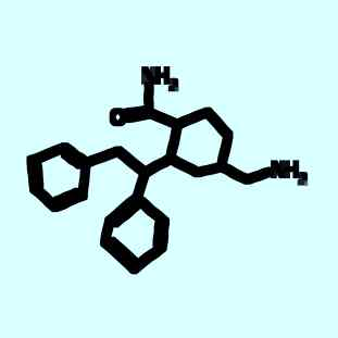 NCC1CCC(C(N)=O)C(C(Cc2ccccc2)c2ccccc2)C1